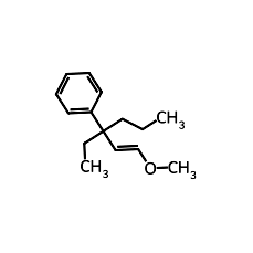 CCCC(C=COC)(CC)c1ccccc1